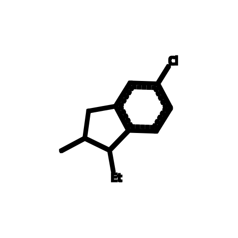 CCC1c2ccc(Cl)cc2CC1C